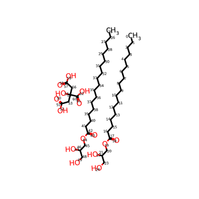 CCCCCCCCCCCCCCCCCC(=O)OCC(O)CO.CCCCCCCCCCCCCCCCCC(=O)OCC(O)CO.O=C(O)CC(O)(CC(=O)O)C(=O)O